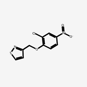 O=[N+]([O-])c1ccc(OCc2ccsn2)c(Cl)c1